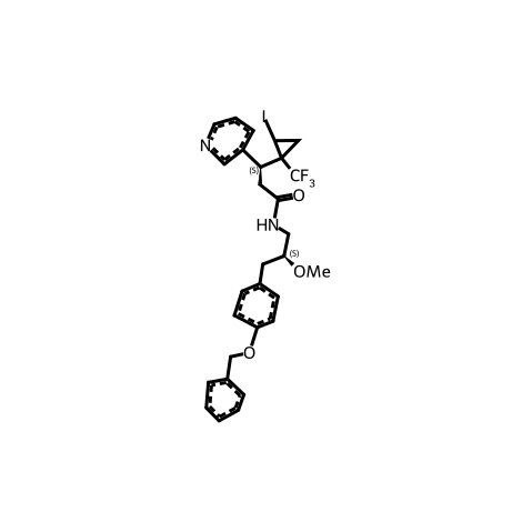 CO[C@H](CNC(=O)C[C@@H](c1cccnc1)C1(C(F)(F)F)CC1I)Cc1ccc(OCc2ccccc2)cc1